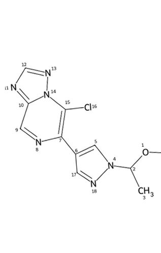 CCOC(C)n1cc(-c2ncc3ncnn3c2Cl)cn1